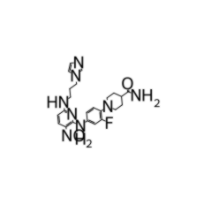 NC(=O)C1CCN(c2ccc(Nc3nc(NCCCn4ccnc4)ccc3[N+](=O)[O-])cc2F)CC1